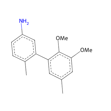 COc1cc(C)cc(-c2cc(N)ccc2C)c1OC